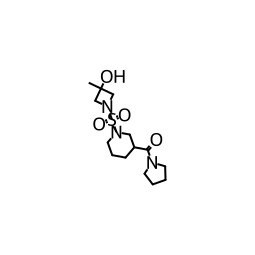 CC1(O)CN(S(=O)(=O)N2CCCC(C(=O)N3CCCC3)C2)C1